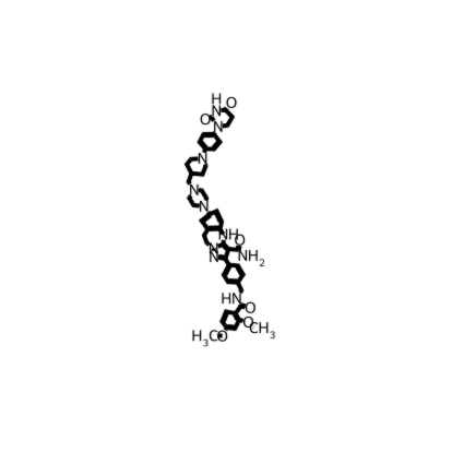 COc1ccc(C(=O)NCc2ccc(-c3nn4c(c3C(N)=O)Nc3ccc(N5CCN(CC6CCN(c7ccc(N8CCC(=O)NC8=O)cc7)CC6)CC5)cc3CC4)cc2)c(OC)c1